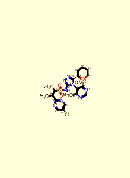 COc1ncnc(OC)c1-n1c(NS(=O)(=O)C(C)C(C)c2ncc(Cl)cn2)nnc1[C@@H]1CCCCO1